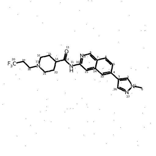 Cn1cc(-c2ccc3cnc(NC(=O)C4CCN(CCC(F)(F)F)CC4)cc3c2)cn1